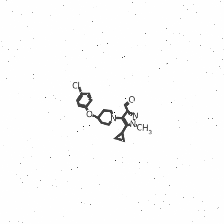 Cn1nc(C=O)c(N2CCC(Oc3ccc(Cl)cc3)CC2)c1C1CC1